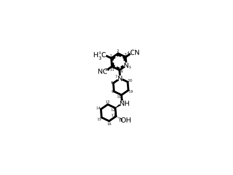 Cc1cc(C#N)nc(N2CCC(N[C@@H]3CCCC[C@H]3O)CC2)c1C#N